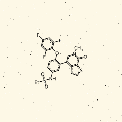 CCS(=O)(=O)Nc1ccc(Oc2c(F)cc(F)cc2F)c(-c2cn(C)c(=O)c3sccc23)c1